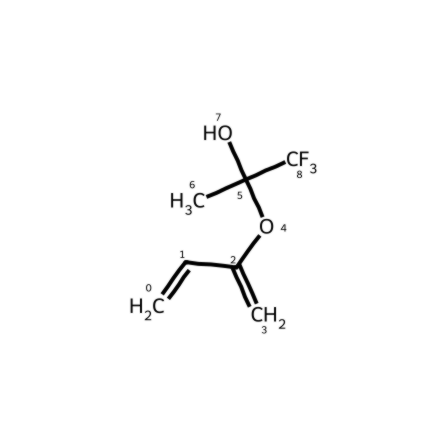 C=CC(=C)OC(C)(O)C(F)(F)F